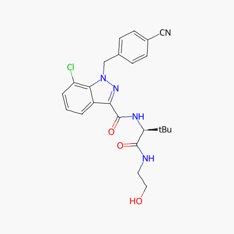 CC(C)(C)[C@H](NC(=O)c1nn(Cc2ccc(C#N)cc2)c2c(Cl)cccc12)C(=O)NCCO